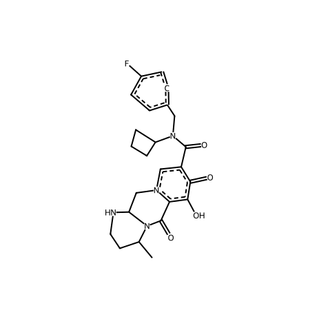 CC1CCNC2Cn3cc(C(=O)N(Cc4ccc(F)cc4)C4CCC4)c(=O)c(O)c3C(=O)N12